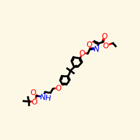 CCOC(=O)c1coc(COc2ccc(C(C)(C)c3ccc(OCCCNC(=O)OC(C)(C)C)cc3)cc2)n1